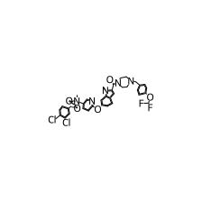 CN(c1ccc(Oc2ccc3cc(C(=O)N4CCN(Cc5ccc(OC(F)F)cc5)CC4)n(C)c3c2)nc1)S(=O)(=O)c1ccc(Cl)c(Cl)c1